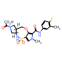 Cc1cc(NC(=O)c2c3c(cn2C)S(=O)(=O)N[C@H]2CN(C(=O)C(=O)O)C[C@H]2CO3)ccc1F